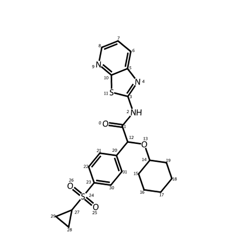 O=C(Nc1nc2cccnc2s1)C(OC1CCCCC1)c1ccc(S(=O)(=O)C2CC2)cc1